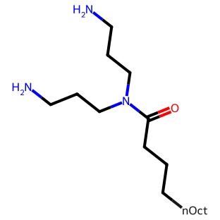 CCCCCCCCCCCC(=O)N(CCCN)CCCN